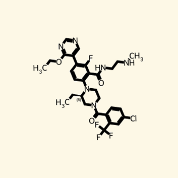 CCOc1ncncc1-c1ccc(N2CCN(C(=O)c3ccc(Cl)cc3C(F)(F)F)C[C@H]2CC)c(C(=O)NCCNC)c1F